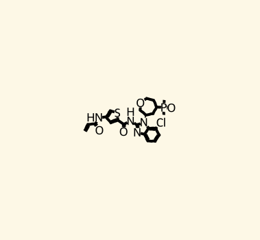 C=CC(=O)Nc1csc(C(=O)Nc2nc3cccc(Cl)c3n2[C@@H]2COCCC(P(C)(C)=O)C2)c1